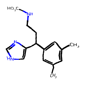 Cc1cc(C)cc(C(CCNC(=O)O)c2c[nH]cn2)c1